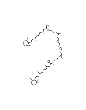 CC1=C(/C=C/C(C)=C/C=C/C(C)=C/C(=O)SCCCN(C)CCOCCOCCN(C)CCCSC(=O)/C=C(C)/C=C/C=C(C)/C=C/C2=C(C)CCCC2(C)C)C(C)(C)CCC1